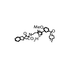 COc1ccc(C(=O)N2CCN(C)CC2)cc1-c1csc(CC/N=C/C(=O)C2(CC(=O)O)Cc3ccccc3C2)n1